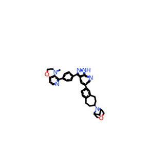 CN1CCOc2ccnc(-c3ccc(-c4n[nH]c5ncc(-c6ccc7c(c6)CC[C@@H](N6C8COCC6C8)CC7)cc45)cc3)c21